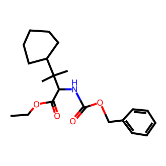 CCOC(=O)C(NC(=O)OCc1ccccc1)C(C)(C)C1CCCCC1